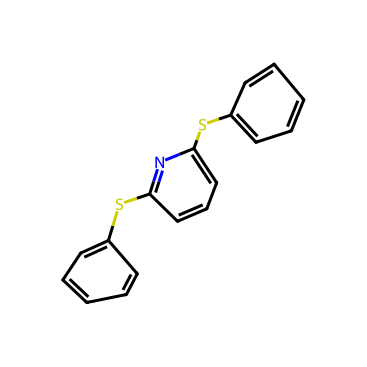 c1ccc(Sc2cccc(Sc3ccccc3)n2)cc1